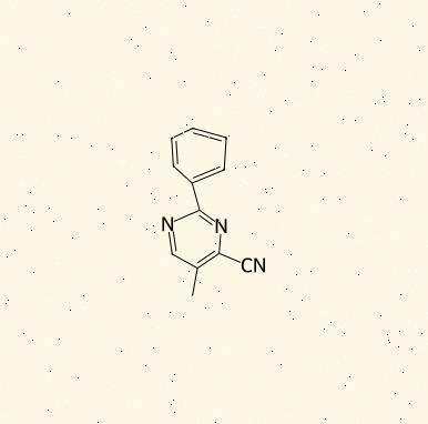 Cc1cnc(-c2ccccc2)nc1C#N